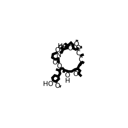 CCCC1/C=C(/C)CC(C)CC(OC)C2OC(O)(C(=O)C(=O)N3CCCCC3C(=O)OC(C(C)CC3CCC(O)C(OC)C3)C(C)C(O)CC1=O)C(C)CC2OC